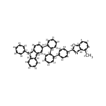 Cc1cccc2oc(-c3ccc(-c4ccccc4-c4ccccc4-c4ccc5c(c4)c4ccccc4n5-c4ccccc4)cc3)nc12